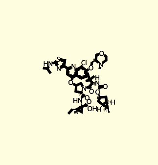 CC[C@@H]1C[C@]1(NC(=O)[C@@H]1CC(Oc2cc(-c3csc(NC(C)C)n3)nc3c(Cl)c(OC[C@H]4COCCN4C)ccc23)CN1C(=O)[C@@H](NC(=O)O[C@@H]1C[C@@H]2[C@H](C)[C@@H]2C1)C(C)(C)C)C(=O)O